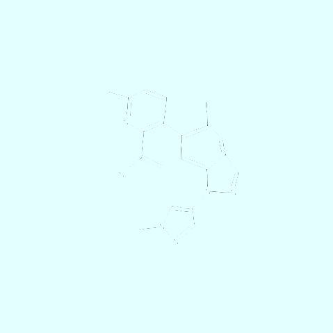 Cc1cc2cnn(-c3cnn(C)c3)c2cc1-c1ccc(C(F)(F)F)nc1C(N)=O